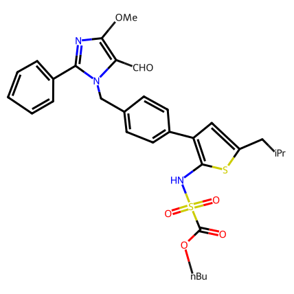 CCCCOC(=O)S(=O)(=O)Nc1sc(CC(C)C)cc1-c1ccc(Cn2c(-c3ccccc3)nc(OC)c2C=O)cc1